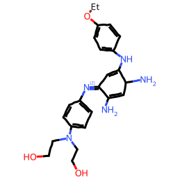 CCOc1ccc(NC2=C/C(=N/c3ccc(N(CCO)CCO)cc3)C(N)=CC2N)cc1